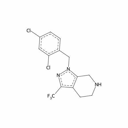 FC(F)(F)c1nn(Cc2ccc(Cl)cc2Cl)c2c1CCNC2